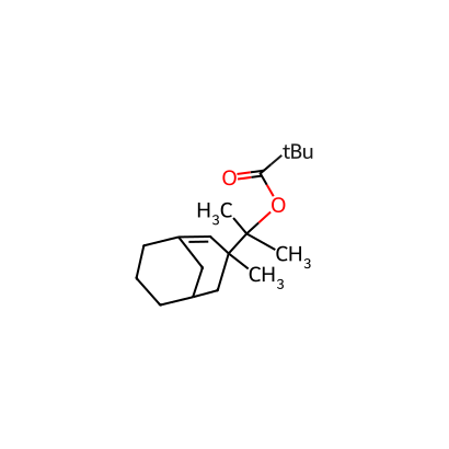 CC(C)(C)C(=O)OC(C)(C)C1(C)C=C2CCCC(C2)C1